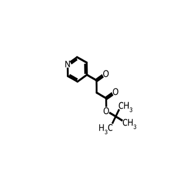 CC(C)(C)OC(=O)CC(=O)c1ccncc1